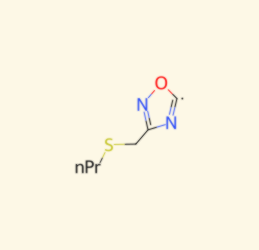 CCCSCc1n[c]on1